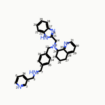 c1cncc(CNCc2ccc(CN(Cc3nc4ccccc4[nH]3)C3CCCc4cccnc43)cc2)c1